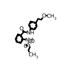 CCCS(=O)(=O)Nc1ccccc1C(=O)Nc1ccc(CCOC)cc1